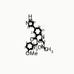 COc1cccc(Cn2c(CN(C)C)nc3ccc(-c4cn[nH]c4)cc3c2=O)c1